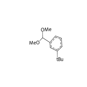 COC(OC)c1cccc(C(C)(C)C)c1